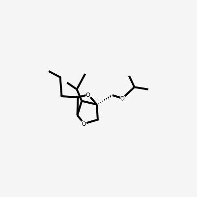 CCCC1O[C@@]2(COC(C)C)COC1C2C(C)C